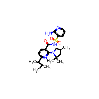 CC(C)C(C)c1ccc(C(=O)NS(=O)(=O)c2cccnc2N)c(N2C[C@@H](C)CC2(C)C)n1